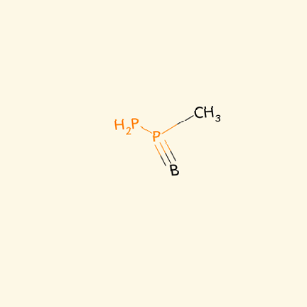 B#P(C)P